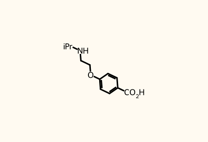 CC(C)NCCOc1ccc(C(=O)O)cc1